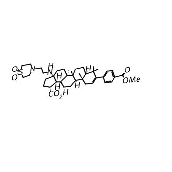 COC(=O)c1ccc(C2=CC[C@]3(C)[C@H]4CC[C@@H]5[C@H]6[C@H](C(=O)O)CC[C@]6(NCCN6CCS(=O)(=O)CC6)CC[C@@]5(C)[C@]4(C)CC[C@H]3C2(C)C)cc1